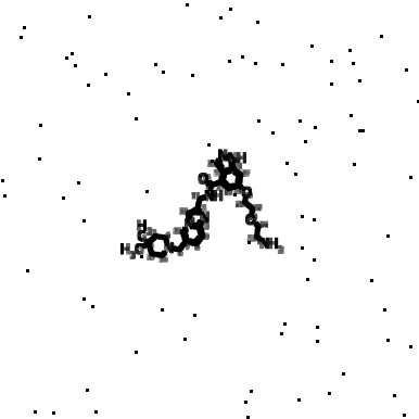 CC1(C)CCN(Cc2ccc3nc(CNC(=O)c4cc(OCCOCCN)cc5[nH]ncc45)cn3c2)CC1